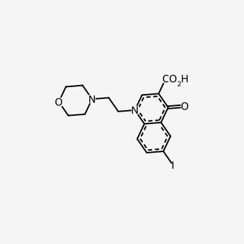 O=C(O)c1cn(CCN2CCOCC2)c2ccc(I)cc2c1=O